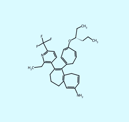 CCC[C@@H](CC)OC1=CC=C(C2=C(c3ccc(C(F)(F)F)nc3CC)CCCC3=C2CC=CC(N)=C3)CC=C1